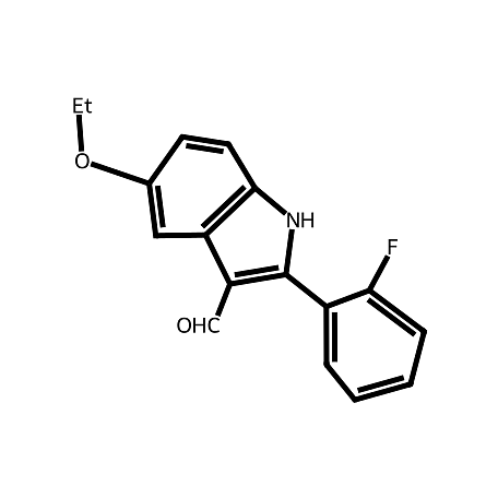 CCOc1ccc2[nH]c(-c3ccccc3F)c(C=O)c2c1